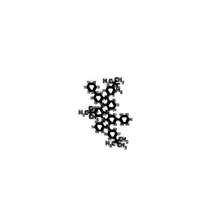 CC(C)(C)c1ccc(N2c3cc(-c4ccccc4)ccc3B3c4cc(C(C)(C)C)cc5c4N(c4cccc2c43)c2cc(-c3ccccc3)cc3c2B5c2ccccc2N3c2ccc(C(C)(C)C)cc2)cc1